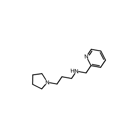 c1ccc(CNCCCN2CCCC2)nc1